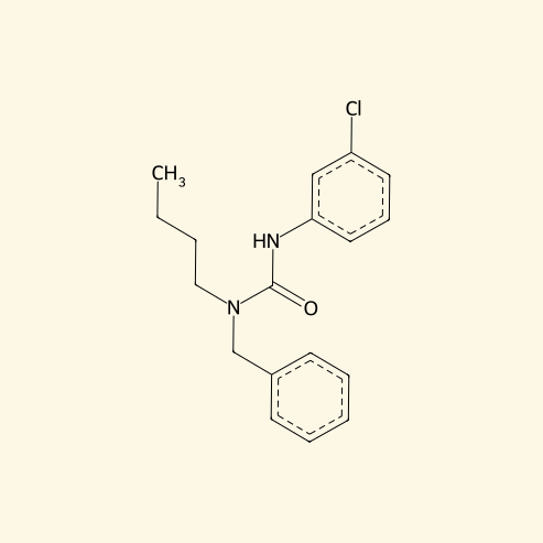 CCCCN(Cc1ccccc1)C(=O)Nc1cccc(Cl)c1